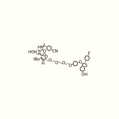 C[C@H](NC(=O)[C@@H]1C[C@@H](O)CN1C(=O)[C@@H](NC(=O)COCCOCCOCCOc1ccc(Oc2c(-c3ccc(F)cc3)sc3cc(O)ccc23)cc1)C(C)(C)C)c1ccc(C#N)cc1